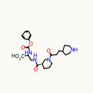 O=C(NC(CNC(=O)[C@@H]1CCCN(C(=O)CCC2CCNCC2)C1)C(=O)O)Oc1ccccc1